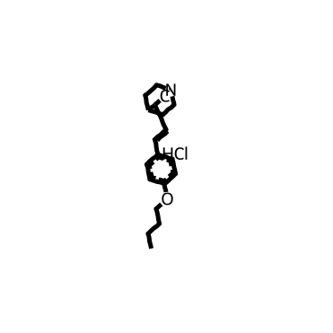 CCCCOc1ccc(C=CC2CN3CCC2CC3)cc1.Cl